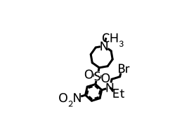 [CH2]CN(CCBr)c1ccc([N+](=O)[O-])cc1S(=O)(=O)C1CCCN(C)CCC1